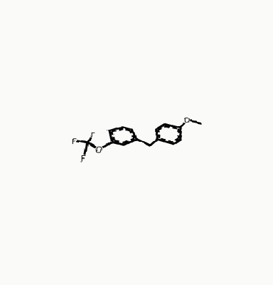 COc1ccc(Cc2cc[c]c(OC(F)(F)F)c2)cc1